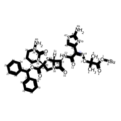 CC(C)(C)OC(=O)C(C)(C)O/N=C(\C(=O)N[C@@H]1C(=O)N2C[C@@](C(=O)OC(c3ccccc3)c3ccccc3)(N3CCCN(N)C3=O)S[C@H]12)c1csc(N)n1